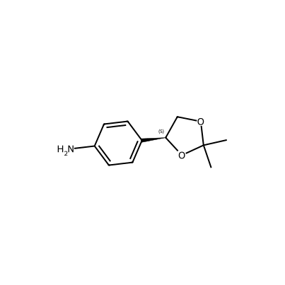 CC1(C)OC[C@H](c2ccc(N)cc2)O1